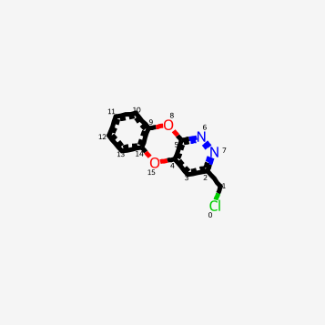 ClCc1cc2c(nn1)Oc1ccccc1O2